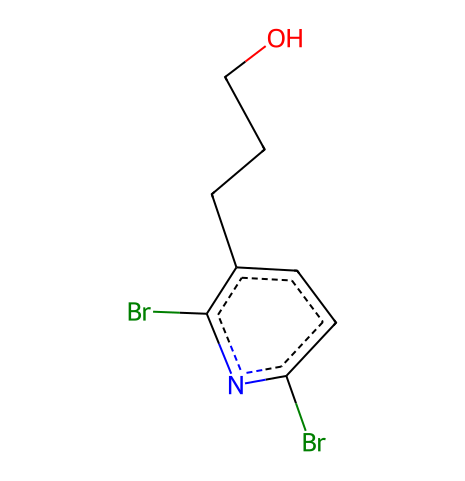 OCCCc1ccc(Br)nc1Br